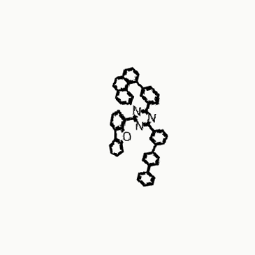 c1ccc(-c2ccc(-c3cccc(-c4nc(-c5cccc(-c6cccc7ccc8ccccc8c67)c5)nc(-c5cccc6c5oc5ccccc56)n4)c3)cc2)cc1